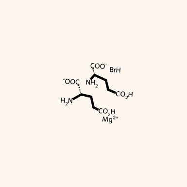 Br.N[C@@H](CCC(=O)O)C(=O)[O-].N[C@@H](CCC(=O)O)C(=O)[O-].[Mg+2]